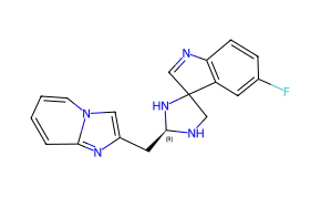 Fc1ccc2c(c1)C1(C=N2)CN[C@@H](Cc2cn3ccccc3n2)N1